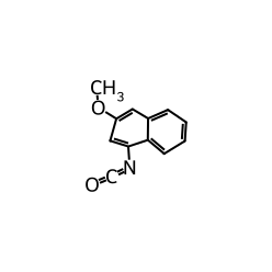 COc1cc(N=C=O)c2ccccc2c1